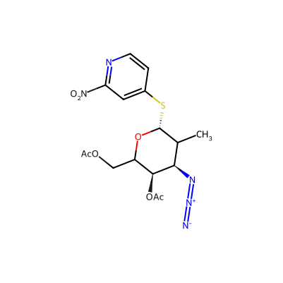 CC(=O)OCC1O[C@H](Sc2ccnc([N+](=O)[O-])c2)C(C)[C@@H](N=[N+]=[N-])[C@H]1OC(C)=O